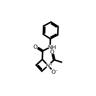 CC(=O)[N+]1([O-])C=CC1C(=O)Nc1ccccc1